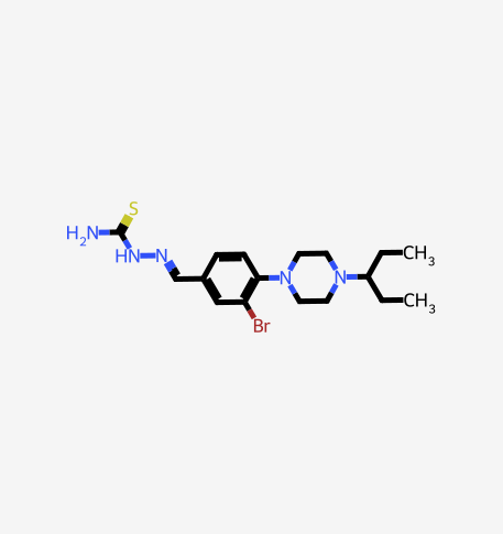 CCC(CC)N1CCN(c2ccc(/C=N/NC(N)=S)cc2Br)CC1